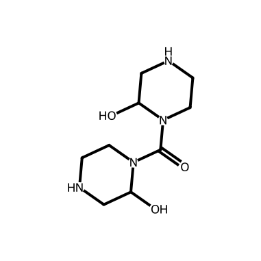 O=C(N1CCNCC1O)N1CCNCC1O